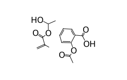 C=C(C)C(=O)OC(C)O.CC(=O)Oc1ccccc1C(=O)O